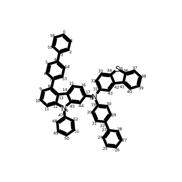 c1ccc(-c2ccc(-c3cccc4c3c3ccc(N(c5ccc(-c6ccccc6)cc5)c5ccc6sc7ccccc7c6c5)cc3n4-c3ccccc3)cc2)cc1